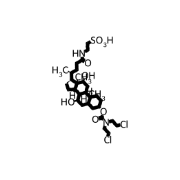 C[C@H](CCC(=O)NCCS(=O)(=O)O)[C@H]1CC[C@H]2[C@@H]3[C@H](O)CC4C[C@H](OC(=O)N(CCCl)CCCl)CC[C@]4(C)[C@H]3C[C@H](O)[C@]12C